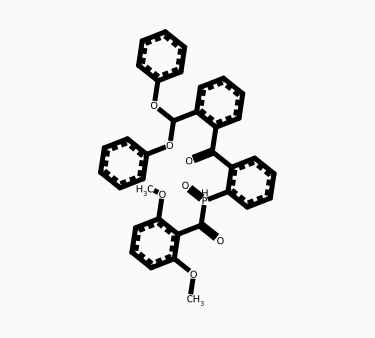 COc1cccc(OC)c1C(=O)[PH](=O)c1ccccc1C(=O)c1ccccc1C(Oc1ccccc1)Oc1ccccc1